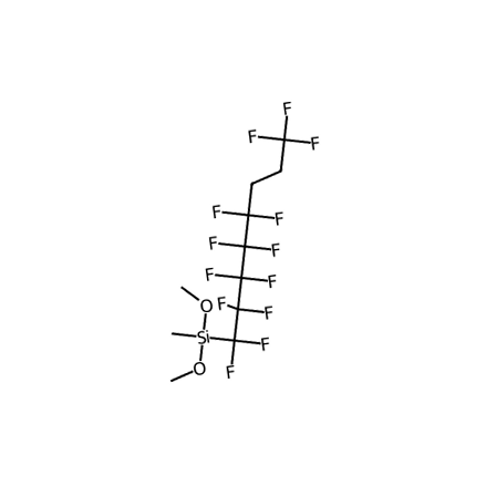 CO[Si](C)(OC)C(F)(F)C(F)(F)C(F)(F)C(F)(F)C(F)(F)CCC(F)(F)F